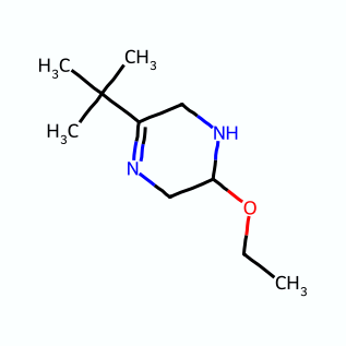 CCOC1CN=C(C(C)(C)C)CN1